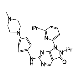 CC(C)c1cccc(-n2c3nc(Nc4ccc(N5CCN(C)CC5)cc4)ncc3c(=O)n2C(C)C)n1